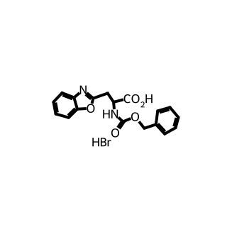 Br.O=C(NC(Cc1nc2ccccc2o1)C(=O)O)OCc1ccccc1